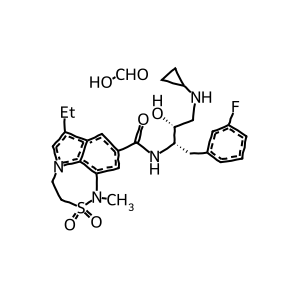 CCc1cn2c3c(cc(C(=O)N[C@@H](Cc4cccc(F)c4)[C@H](O)CNC4CC4)cc13)N(C)S(=O)(=O)CC2.O=CO